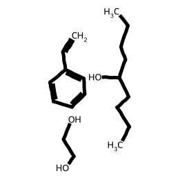 C=Cc1ccccc1.CCCCC(O)CCCC.OCCO